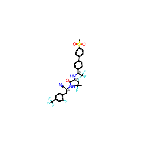 CC(C)(F)C[C@H](N[C@@H](c1ccc(-c2ccc(S(C)(=O)=O)cc2)cc1)C(F)(F)F)C(=O)N[C@H](C#N)Cc1ccc(C(F)(F)F)cc1F